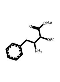 COC(=O)C(OC(C)=O)C(N)Cc1ccccc1